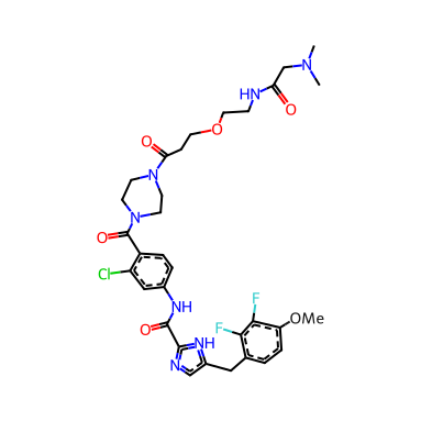 COc1ccc(Cc2cnc(C(=O)Nc3ccc(C(=O)N4CCN(C(=O)CCOCCNC(=O)CN(C)C)CC4)c(Cl)c3)[nH]2)c(F)c1F